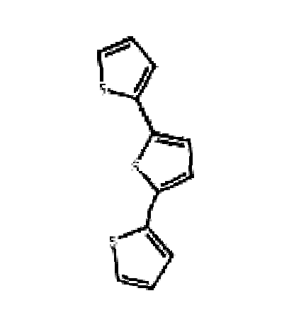 [c]1ccsc1-c1ccc(-c2cccs2)s1